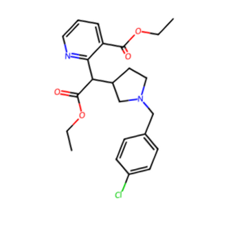 CCOC(=O)c1cccnc1C(C(=O)OCC)C1CCN(Cc2ccc(Cl)cc2)C1